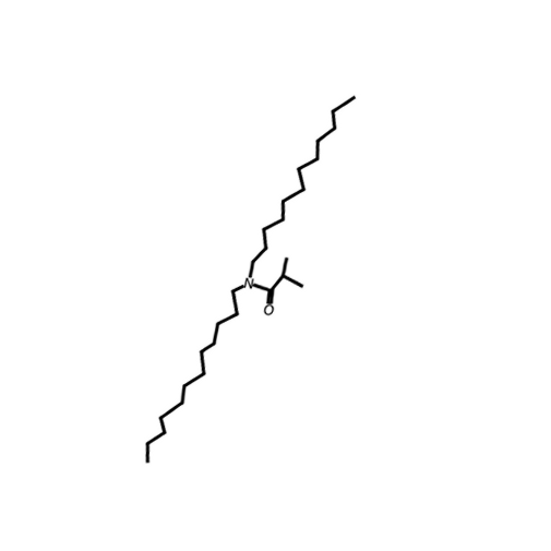 CCCCCCCCCCCCN(CCCCCCCCCCCC)C(=O)C(C)C